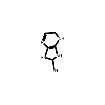 SC1NC2=C(NCC=N2)N1